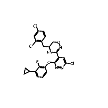 Fc1c(Oc2nnc(Cl)cc2C2=NOCC(Cc3ccc(Cl)cc3Cl)N2)cccc1C1CC1